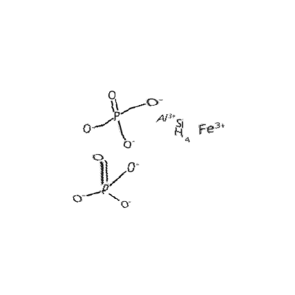 O=P([O-])([O-])[O-].O=P([O-])([O-])[O-].[Al+3].[Fe+3].[SiH4]